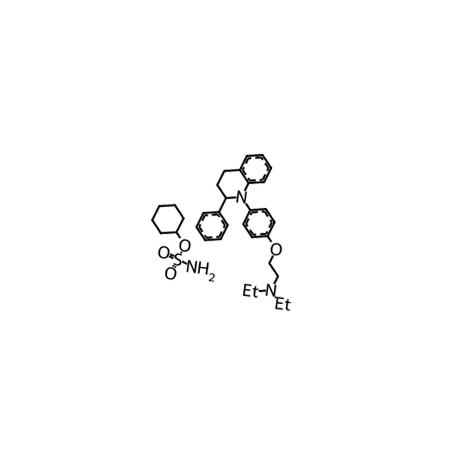 CCN(CC)CCOc1ccc(N2c3ccccc3CCC2c2ccccc2)cc1.NS(=O)(=O)OC1CCCCC1